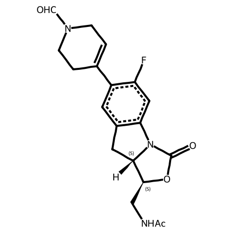 CC(=O)NC[C@@H]1OC(=O)N2c3cc(F)c(C4=CCN(C=O)CC4)cc3C[C@@H]12